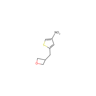 O=[N+]([O-])c1csc(CC2COC2)c1